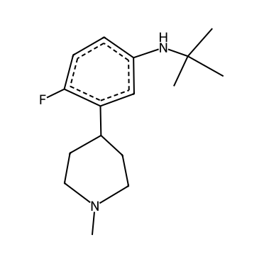 CN1CCC(c2cc(NC(C)(C)C)ccc2F)CC1